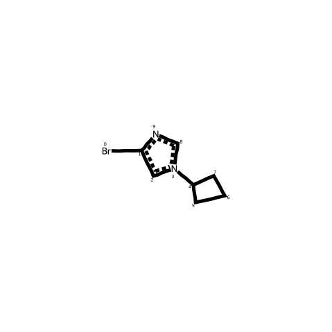 Brc1cn(C2CCC2)cn1